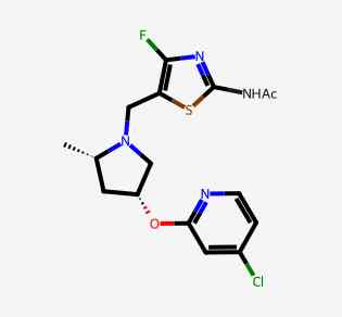 CC(=O)Nc1nc(F)c(CN2C[C@H](Oc3cc(Cl)ccn3)C[C@@H]2C)s1